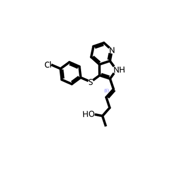 CC(O)C/C=C/c1[nH]c2ncccc2c1Sc1ccc(Cl)cc1